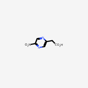 O=C(O)Cc1cnc([N+](=O)[O-])cn1